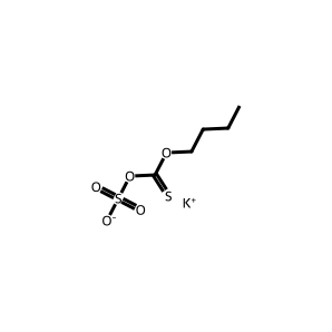 CCCCOC(=S)OS(=O)(=O)[O-].[K+]